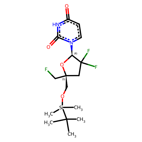 CC(C)(C)[Si](C)(C)OC[C@]1(CF)CC(F)(F)[C@H](n2ccc(=O)[nH]c2=O)O1